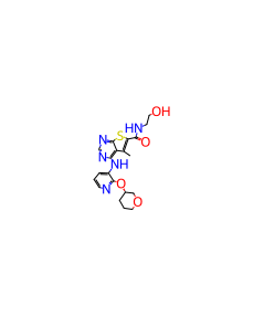 Cc1c(C(=O)NCCO)sc2ncnc(Nc3cccnc3O[C@@H]3CCCOC3)c12